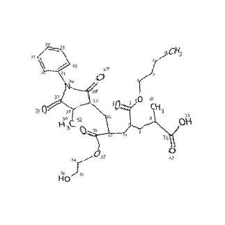 CCCCOC(=O)C(CC(C)C(=O)O)CC(CC1C(=O)N(c2ccccc2)C(=O)C1C)C(=O)OCCO